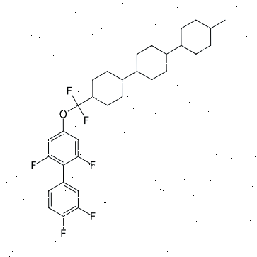 CC1CCC(C2CCC(C3CCC(C(F)(F)Oc4cc(F)c(-c5ccc(F)c(F)c5)c(F)c4)CC3)CC2)CC1